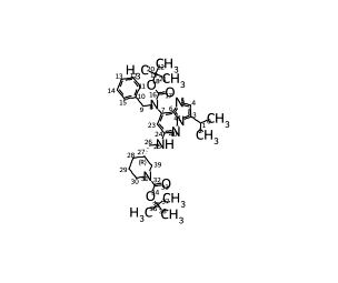 CC(C)c1cnc2c(N(Cc3ccccc3)C(=O)OC(C)(C)C)cc(NC[C@H]3CCCN(C(=O)OC(C)(C)C)C3)nn12